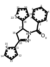 O=C(c1ccccc1)N1N=C(c2cccs2)CC1c1cccs1